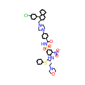 O=C(NS(=O)(=O)c1ccc(N[C@H](CCN2CCOCC2)CSc2ccccc2)c([N+](=O)[O-])c1)c1ccc(N2CCN(Cc3ccc4ccccc4c3-c3ccc(Cl)cc3)CC2)cc1